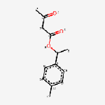 CC(=O)CC(=O)OC(C)c1ccc(C)cc1